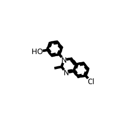 CC1N=c2cc(Cl)ccc2=CN1c1cccc(O)c1